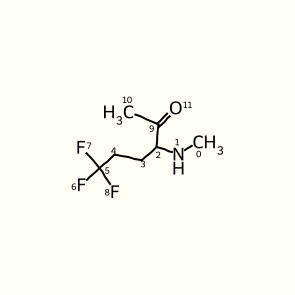 CNC(CCC(F)(F)F)C(C)=O